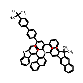 CC(C)(C)c1ccc(-c2ccc(-c3ccc(N(c4ccc5c(c4)-c4cc6ccccc6cc4C5(C)C)c4ccc5ccccc5c4-c4cccc5oc6ccccc6c45)c(-c4ccccc4)c3)cc2)cc1